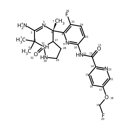 CC1(C)C(N)=N[C@](C)(c2nc(NC(=O)c3ccc(OCF)cn3)ccc2F)C2CCN[SH]21=O